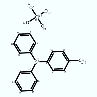 Cc1ccc([S+](c2ccccc2)c2ccccc2)cc1.[O-][Cl+3]([O-])([O-])[O-]